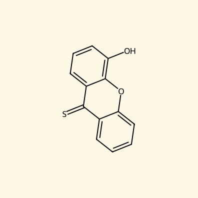 Oc1cccc2c(=S)c3ccccc3oc12